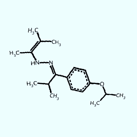 CC(C)=C(C)N/N=C(/c1ccc(OC(C)C)cc1)C(C)C